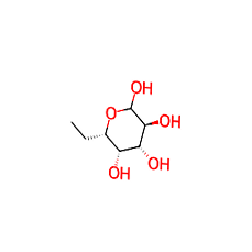 CC[C@@H]1OC(O)[C@@H](O)[C@H](O)[C@@H]1O